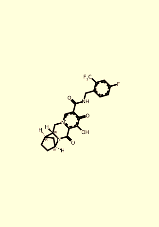 O=C(NCc1ccc(F)cc1C(F)(F)F)c1cn2c(c(O)c1=O)C(=O)N1[C@H]3CC[C@H](C3)[C@@H]1C2